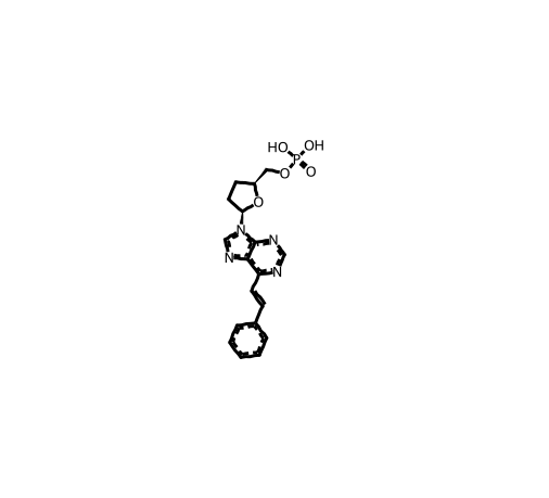 O=P(O)(O)OC[C@@H]1CC[C@H](n2cnc3c(/C=C/c4ccccc4)ncnc32)O1